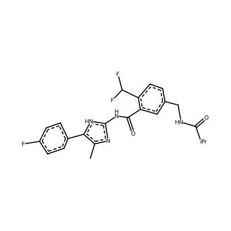 Cc1nc(NC(=O)c2cc(CNC(=O)C(C)C)ccc2C(F)F)[nH]c1-c1ccc(F)cc1